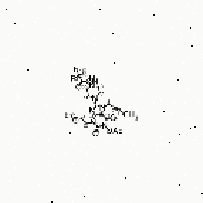 CC#CCn1c(N2CCNCC2)nc2c1c(=O)n(OC(C)=O)c(=O)n2CCOCC.O=C(O)C(F)(F)F